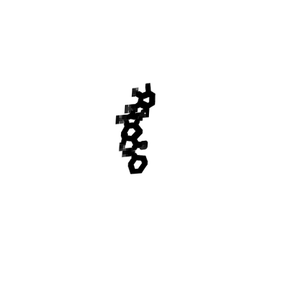 Cc1ccc(Cl)c(Nc2nc3cc(C(=O)NC4CCCCC4)c(F)cc3[nH]2)c1F